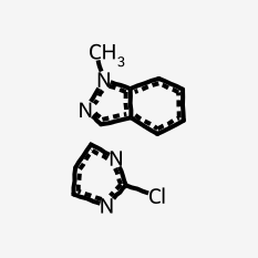 Clc1ncccn1.Cn1ncc2ccccc21